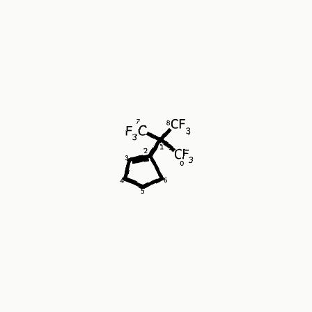 FC(F)(F)C(C1=CCCC1)(C(F)(F)F)C(F)(F)F